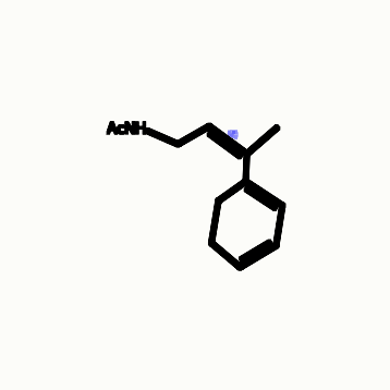 CC(=O)NC/C=C(/C)C1=CC=CCC1